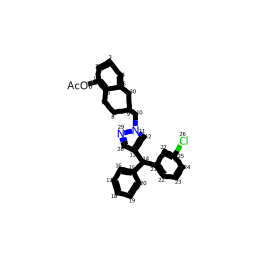 CC(=O)Oc1cccc2c1CCC(Cn1cc(C(c3ccccc3)c3cccc(Cl)c3)cn1)C2